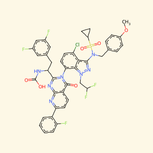 COc1ccc(CN(c2nn(CC(F)F)c3c(-n4c(C(Cc5cc(F)cc(F)c5)NC(=O)O)nc5nc(-c6ccccc6F)ccc5c4=O)ccc(Cl)c23)S(=O)(=O)C2CC2)cc1